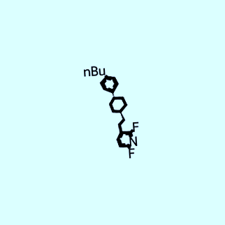 CCCCc1ccc([C@H]2CC[C@H](CCc3ccc(F)nc3F)CC2)cc1